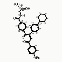 CC(C)(C)c1ccc(C(=O)C=C(C(=O)c2ccc(C(=O)NC[C@@H](O)C(=O)O)cc2)c2ccc(C3CCCCC3)cc2)cc1